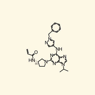 C=CC(=O)N[C@H]1CCN(c2nc(Nc3cnn(Cc4ccccc4)c3)c3ncn(C(C)C)c3n2)C1